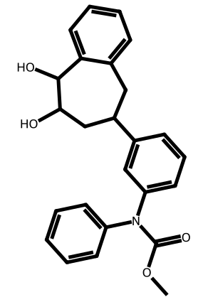 COC(=O)N(c1ccccc1)c1cccc(C2Cc3ccccc3C(O)C(O)C2)c1